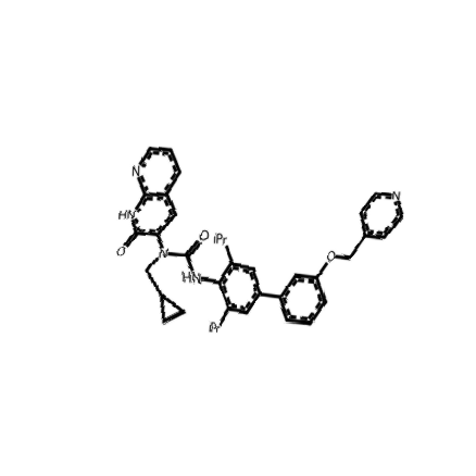 CC(C)c1cc(-c2cccc(OCc3ccncc3)c2)cc(C(C)C)c1NC(=O)N(CC1CC1)c1cc2cccnc2[nH]c1=O